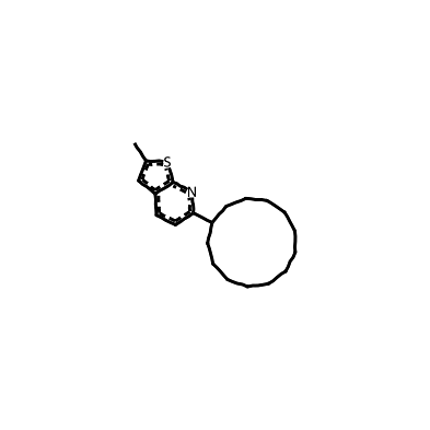 Cc1cc2ccc(C3CCCCCCCCCCCC3)nc2s1